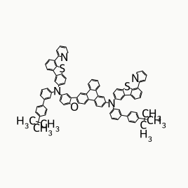 CC(C)(C)c1ccc(-c2cccc(N(c3ccc4oc5cc6c7ccc(N(c8cccc(-c9ccc(C(C)(C)C)cc9)c8)c8ccc9sc%10c(-c%11ccccn%11)cccc%10c9c8)cc7c7ccccc7c6cc5c4c3)c3ccc4sc5c(-c6ccccn6)cccc5c4c3)c2)cc1